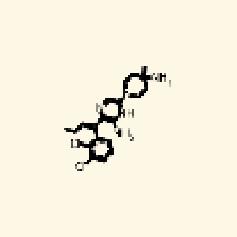 CC/C=C(/C1=C(N)NC(N2CCC(C)(N)CC2)C=N1)c1cccc(Cl)c1Cl